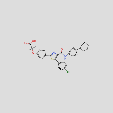 CC(C)(Oc1ccc(-c2nc(C(=O)Nc3ccc(C4CCCCC4)cc3)c(-c3ccc(Cl)cc3)s2)cc1)C(=O)O